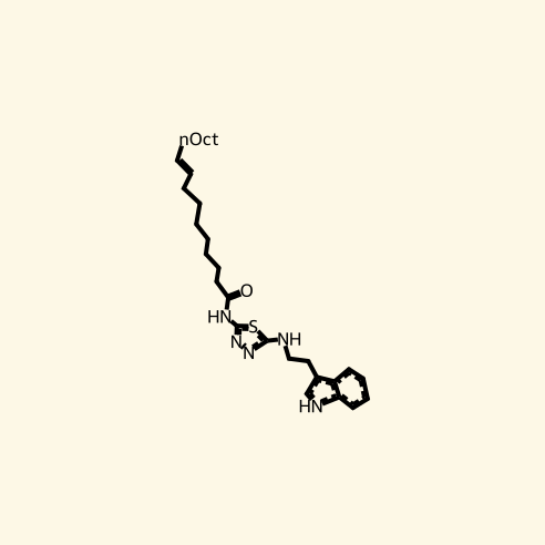 CCCCCCCCC=CCCCCCCCC(=O)Nc1nnc(NCCc2c[nH]c3ccccc23)s1